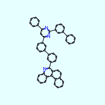 c1ccc(-c2cccc(-c3nc(-c4ccccc4)cc(-c4cccc(-c5cccc(-c6nc7ccccc7c7c6ccc6ccccc67)c5)c4)n3)c2)cc1